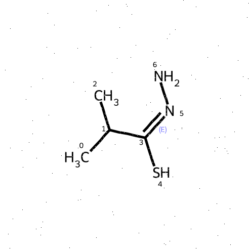 CC(C)/C(S)=N\N